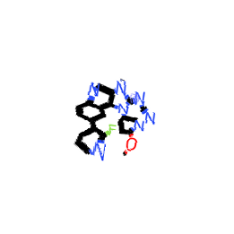 COc1ccc(-n2/c(=N\C#N)n(C)c3cnc4ccc(-c5cccnc5F)cc4c32)cn1